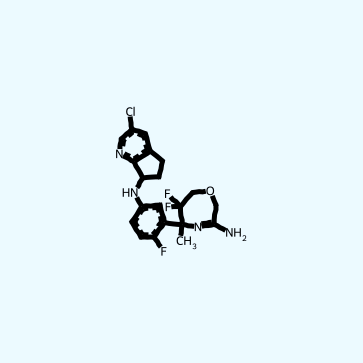 CC1(c2cc(NC3CCc4cc(Cl)cnc43)ccc2F)N=C(N)COCC1(F)F